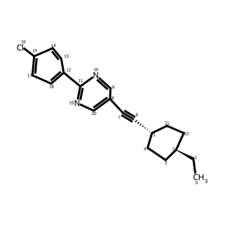 CC[C@H]1CC[C@H](C#Cc2cnc(-c3ccc(Cl)cc3)nc2)CC1